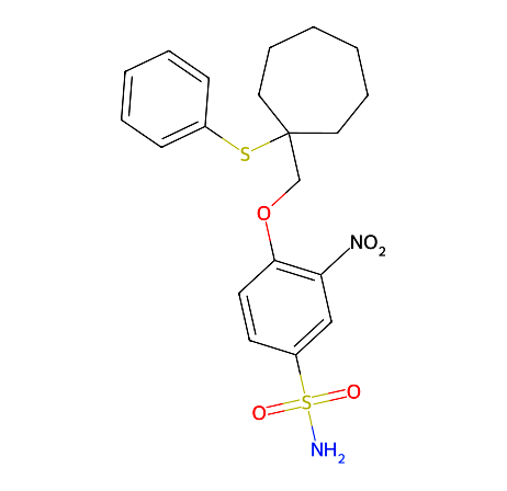 NS(=O)(=O)c1ccc(OCC2(Sc3ccccc3)CCCCCC2)c([N+](=O)[O-])c1